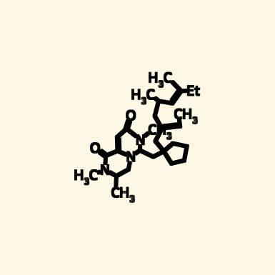 C/C=C(\CC(C)/C=C(\C)CC)CC1(CC2N(C)C(=O)C=C3C(=O)N(C)C(C)CN32)CCCC1